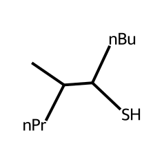 CCCCC(S)C(C)CCC